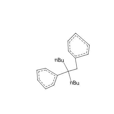 CCCCC(CCCC)(Cc1ccccc1)c1ccccc1